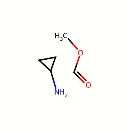 COC=O.NC1CC1